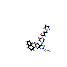 COc1nc2c(c(N3CCN(C(=O)/C=C/Cn4cccn4)CC3)n1)CCN(c1cccc3cccc(C)c13)C2